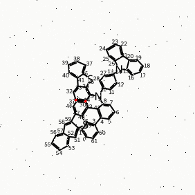 c1ccc(-c2cccc(N(c3ccc(-n4c5ccccc5c5ccccc54)cc3)c3cccc4c3sc3ccccc34)c2-c2cccc3c2sc2cc4ccccc4cc23)cc1